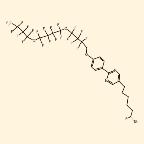 CC[C@H](F)CCCCCc1cnc(-c2ccc(OCC(F)(F)C(F)(F)C(F)(F)OC(F)(F)C(F)(F)C(F)(F)C(F)(F)OC(F)(F)C(F)(F)C(F)(F)C(F)(F)F)cc2)nc1